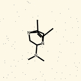 CC1=C(C)N2CCN1CC2N(C)C